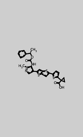 C[C@@H](OC(=O)Nc1c(-c2cc3sc(-c4ccc(C5(C(=O)O)CC5)s4)cc3s2)cnn1C)c1ccccc1